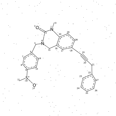 CN1C(=O)N(Cc2ccc([S+](C)[O-])cc2)Cc2cc(C#CCc3ccccc3)ccc21